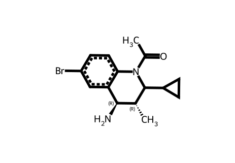 CC(=O)N1c2ccc(Br)cc2[C@H](N)[C@@H](C)C1C1CC1